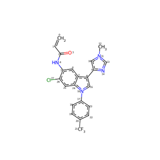 C=CC(=O)Nc1cc2c(-c3cn(C)cn3)cn(-c3ccc(C(F)(F)F)cc3)c2cc1Cl